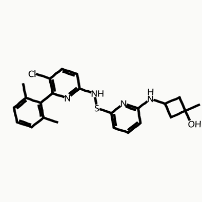 Cc1cccc(C)c1-c1nc(NSc2cccc(NC3CC(C)(O)C3)n2)ccc1Cl